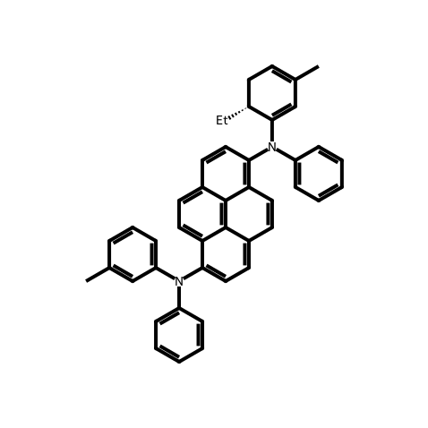 CC[C@@H]1CC=C(C)C=C1N(c1ccccc1)c1ccc2ccc3c(N(c4ccccc4)c4cccc(C)c4)ccc4ccc1c2c43